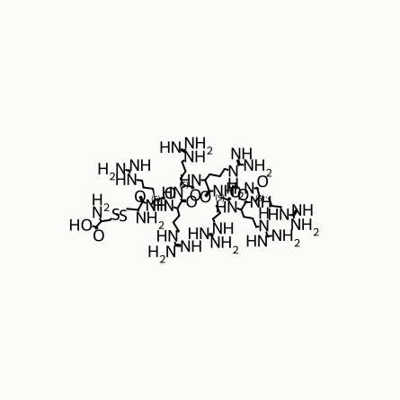 N=C(N)NCCCC(NC(=O)[C@H](CCCNC(=N)N)NC(=O)C(N)CSSCC(N)C(=O)O)C(=O)N[C@@H](CCCNC(=N)N)C(=O)NC(CCCNC(=N)N)C(=O)N[C@@H](CCCNC(=N)N)C(=O)NC(CCCNC(=N)N)C(=O)N[C@@H](CCCNC(=N)N)C(N)=O